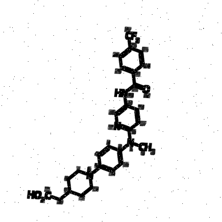 CN(c1ccc(N2CCC(CC(=O)O)CC2)cc1)c1ccc(NC(=O)c2ccc(C(F)(F)F)cc2)cn1